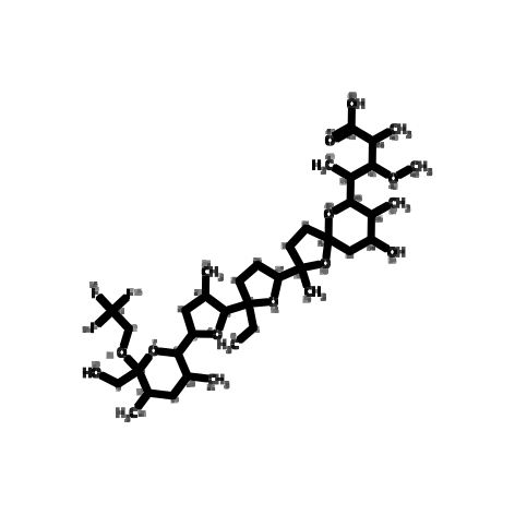 CCC1(C2OC(C3OC(CO)(OCC(F)(F)F)C(C)CC3C)CC2C)CCC(C2(C)CCC3(CC(O)C(C)C(C(C)C(OC)C(C)C(=O)O)O3)O2)O1